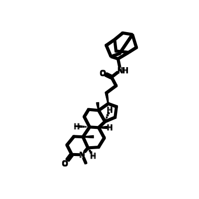 CN1C(=O)CC[C@]2(C)[C@H]3CC[C@]4(C)[C@@H](CCC(=O)NC5C6CC7CC(C6)CC5C7)CC[C@H]4[C@@H]3CC[C@@H]12